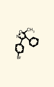 Cc1onc(-c2ccc(Br)cc2)c1-c1ccccc1